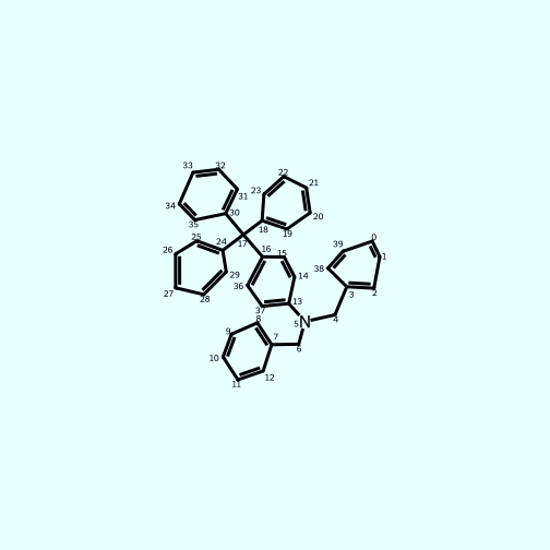 c1ccc(CN(Cc2ccccc2)c2ccc(C(c3ccccc3)(c3ccccc3)c3ccccc3)cc2)cc1